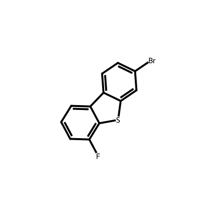 Fc1cccc2c1sc1cc(Br)ccc12